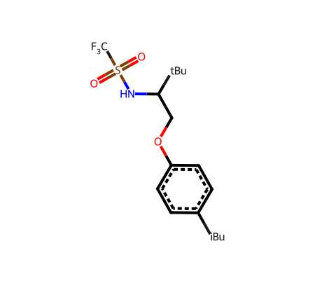 CCC(C)c1ccc(OCC(NS(=O)(=O)C(F)(F)F)C(C)(C)C)cc1